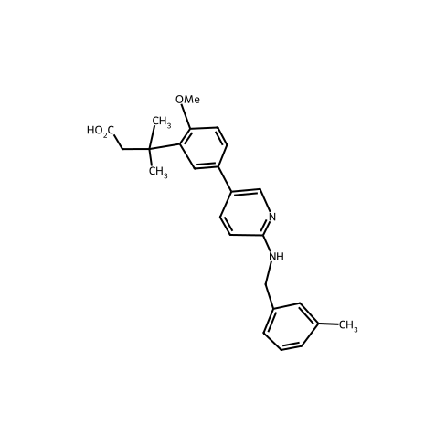 COc1ccc(-c2ccc(NCc3cccc(C)c3)nc2)cc1C(C)(C)CC(=O)O